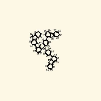 CC1(C)C2=C(C=CCC2)c2c1ccc1c2sc2c(N(c3ccc(-c4cccc5c6c(sc45)CCC=C6)cc3)C3C=CC(C4C=CC=C5c6ccccc6SC54)=CC3)cccc21